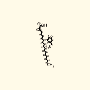 C=Cc1ccccc1.CCCCCCCCCCCCCC=CC=CC1=C(C(=O)O)O1.[Co]